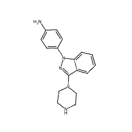 Nc1ccc(-n2nc(N3CCNCC3)c3ccccc32)cc1